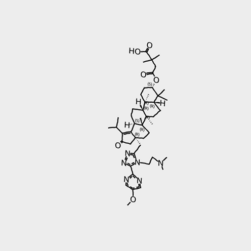 COc1cnc(-c2nnc(C[C@@]34CC[C@]5(C)[C@H](CC[C@@H]6[C@@]7(C)CC[C@H](OC(=O)CC(C)(C)C(=O)O)C(C)(C)[C@@H]7CC[C@]65C)C3=C(C(C)C)C(=O)C4)n2CCN(C)C)nc1